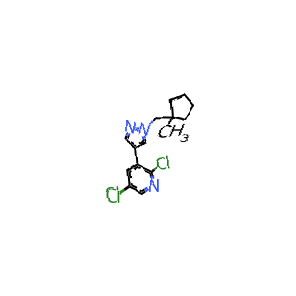 CC1(Cn2cc(-c3cc(Cl)cnc3Cl)cn2)CCCC1